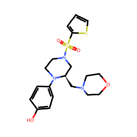 O=S(=O)(c1cccs1)N1CCN(c2ccc(O)cc2)[C@H](CN2CCOCC2)C1